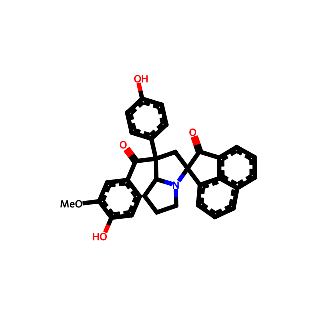 COc1cc(C(=O)C2(c3ccc(O)cc3)CC3(C(=O)c4cccc5cccc3c45)N3CCCC32)ccc1O